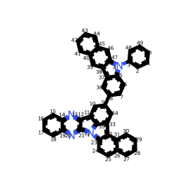 c1ccc(-n2c3ccc(-c4cc5c6nc7ccccc7nc6n6c7ccc8ccccc8c7c(c4)c56)cc3c3cc4ccccc4cc32)cc1